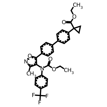 CCOC(=O)N(c1ccc(C(F)(F)F)cc1)c1c(C)noc1-c1ccc(-c2ccc(C3(C(=O)OCC)CC3)cc2)cc1